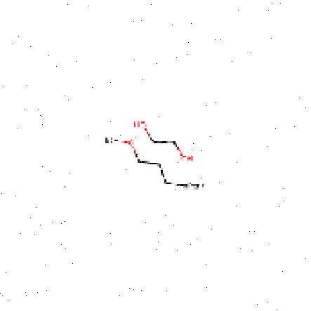 CCCCCCCCOCC.OCCO